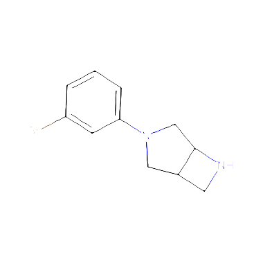 Brc1cccc(N2CC3CNC3C2)c1